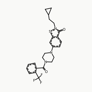 O=C(c1ccccc1C(F)(F)F)N1CCN(c2ccc3c(=O)n(CCC4CC4)sc3c2)CC1